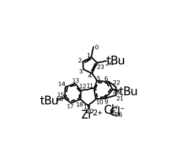 CC1=CCC(c2c3c(C(C)(C)C)c(c4c2-c2ccc(C(C)(C)C)cc2[CH]4[Zr+2])CC3)=C1C(C)(C)C.[Cl-].[Cl-]